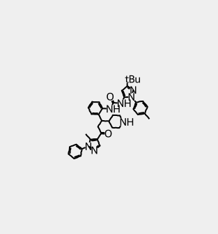 Cc1ccc(-n2nc(C(C)(C)C)cc2NC(=O)Nc2ccccc2C(CC(=O)c2cnn(-c3ccccc3)c2C)C2CCNCC2)cc1